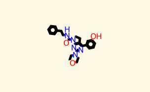 O=C(NCCc1ccccc1)N1CCc2c(-c3cccc(O)c3)nc(N3CCOCC3)nc21